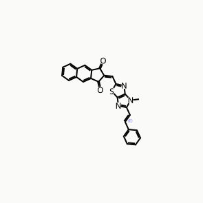 Cn1c(/C=C/c2ccccc2)nc2sc(C=C3C(=O)c4cc5ccccc5cc4C3=O)nc21